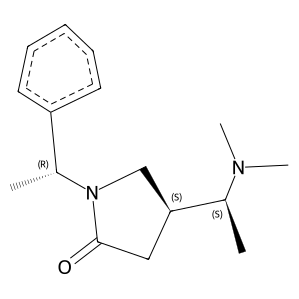 C[C@H](c1ccccc1)N1C[C@@H]([C@H](C)N(C)C)CC1=O